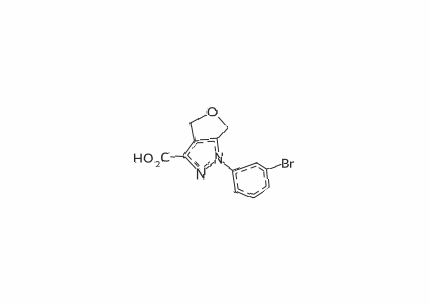 O=C(O)c1nn(-c2cccc(Br)c2)c2c1COC2